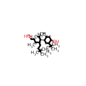 CC(C)C(C(CCC(C)(C)C)C(C)CCO)[C@@H]1CC(C(C)(C)C)C(O)CC1C